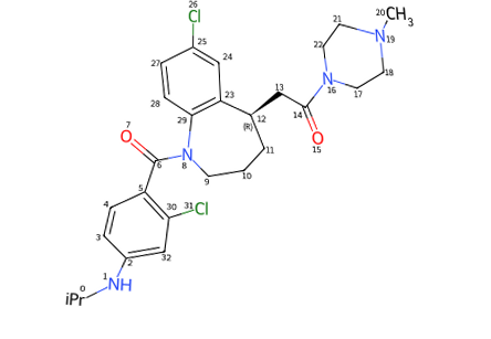 CC(C)Nc1ccc(C(=O)N2CCC[C@H](CC(=O)N3CCN(C)CC3)c3cc(Cl)ccc32)c(Cl)c1